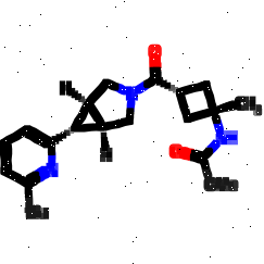 COC(=O)N[C@]1(C)C[C@H](C(=O)N2C[C@@H]3[C@H](C2)[C@H]3c2cccc(C(C)(C)C)n2)C1